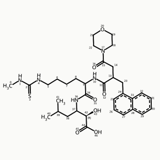 CNC(=S)NCCCCC(NC(=O)C(CC(=O)N1CCOCC1)Cc1cccc2ccccc12)C(=O)NC(CC(C)C)[C@@H](O)C(=O)O